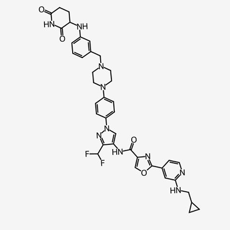 O=C1CCC(Nc2cccc(CN3CCN(c4ccc(-n5cc(NC(=O)c6coc(-c7ccnc(NCC8CC8)c7)n6)c(C(F)F)n5)cc4)CC3)c2)C(=O)N1